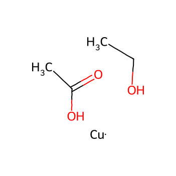 CC(=O)O.CCO.[Cu]